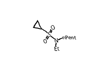 CCCCCN(CC)S(=O)(=O)C1CC1